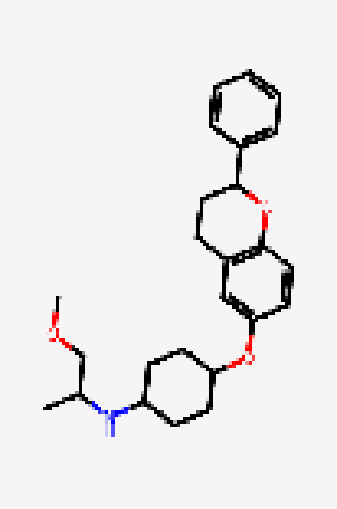 COCC(C)NC1CCC(Oc2ccc3c(c2)CCC(c2ccccc2)O3)CC1